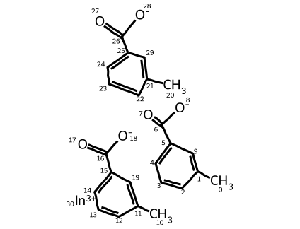 Cc1cccc(C(=O)[O-])c1.Cc1cccc(C(=O)[O-])c1.Cc1cccc(C(=O)[O-])c1.[In+3]